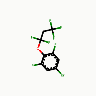 Fc1cc(Br)cc(F)c1OC(F)(F)CC(F)(F)F